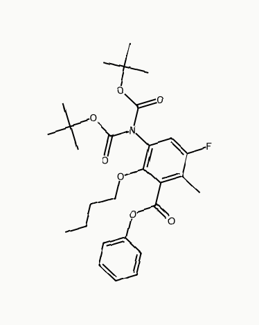 CCCCOc1c(N(C(=O)OC(C)(C)C)C(=O)OC(C)(C)C)cc(F)c(C)c1C(=O)Oc1ccccc1